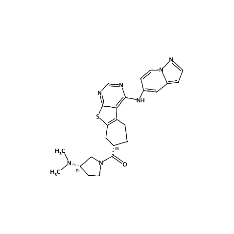 CN(C)[C@H]1CCN(C(=O)[C@H]2CCc3c(sc4ncnc(Nc5ccn6nccc6c5)c34)C2)C1